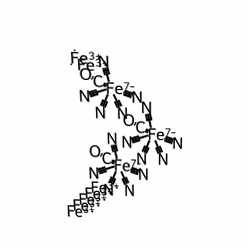 N#[C][Fe-7](=[C]=O)([C]#N)([C]#N)([C]#N)[C]#N.N#[C][Fe-7](=[C]=O)([C]#N)([C]#N)([C]#N)[C]#N.N#[C][Fe-7](=[C]=O)([C]#N)([C]#N)([C]#N)[C]#N.[Fe+3].[Fe+3].[Fe+3].[Fe+3].[Fe+3].[Fe+3].[Fe+3]